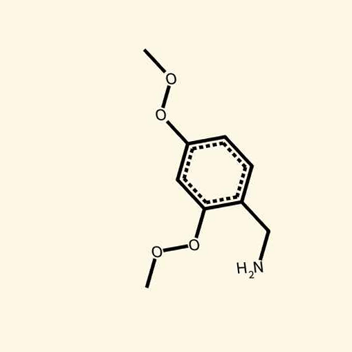 COOc1ccc(CN)c(OOC)c1